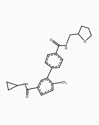 Cc1ccc(C(=O)NC2CC2)cc1-c1ccc(C(=O)NCC2CCCO2)cc1